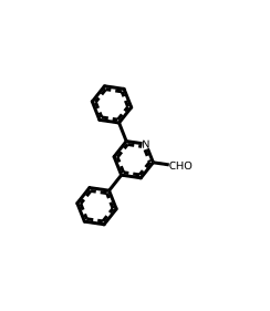 O=Cc1cc(-c2ccccc2)cc(-c2ccccc2)n1